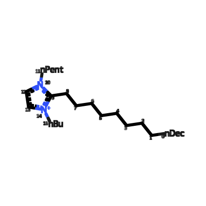 CCCCCCCCCCCCCCCCCCc1n(CCCCC)cc[n+]1CCCC